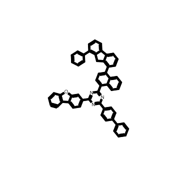 c1ccc2oc3cc(-c4nc(-c5ccc(-c6ccccc6)cc5)nc(-c5ccc(-c6cccc7c6Cc6c(-c8ccccc8)cccc6-7)c6ccccc56)n4)ccc3c2c#1